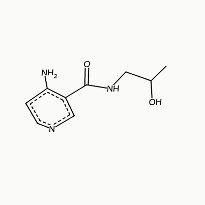 CC(O)CNC(=O)c1cnccc1N